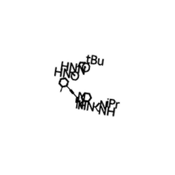 Cc1ccc(NC(=O)Nc2cc(C(C)(C)C)on2)cc1C#Cc1cnc2c(NC3=CN(C(C)C)NC3)cccn12